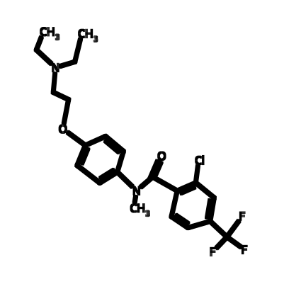 CCN(CC)CCOc1ccc(N(C)C(=O)c2ccc(C(F)(F)F)cc2Cl)cc1